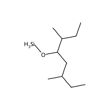 CCC(C)CC(O[SiH3])C(C)CC